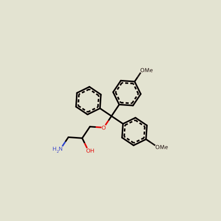 COc1ccc(C(OCC(O)CN)(c2ccccc2)c2ccc(OC)cc2)cc1